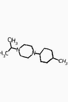 CC1CCC(N2CCN(C(C)C)CC2)CC1